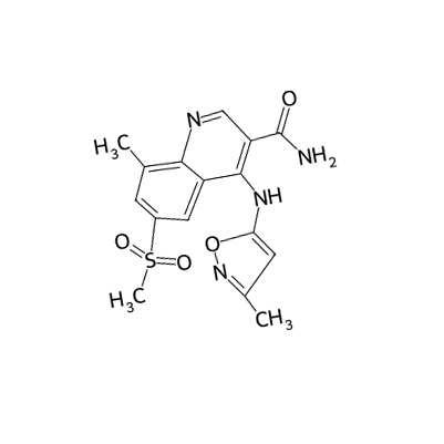 Cc1cc(Nc2c(C(N)=O)cnc3c(C)cc(S(C)(=O)=O)cc23)on1